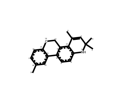 CC1=CC(C)(C)Nc2ccc3c(c21)COc1ccc(C)cc1-3